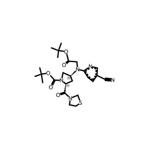 CC(C)(C)OC(=O)CN(c1ccc(C#N)cn1)[C@H]1C[C@@H](C(=O)N2CCSC2)N(C(=O)OC(C)(C)C)C1